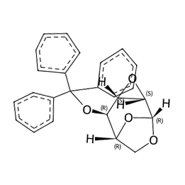 c1ccc(C(O[C@H]2[C@@H]3O[C@@H]3[C@@H]3OC[C@H]2O3)(c2ccccc2)c2ccccc2)cc1